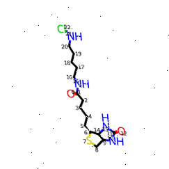 O=C(CCCC[C@@H]1SCC2NC(=O)NC21)NCCCCCNCl